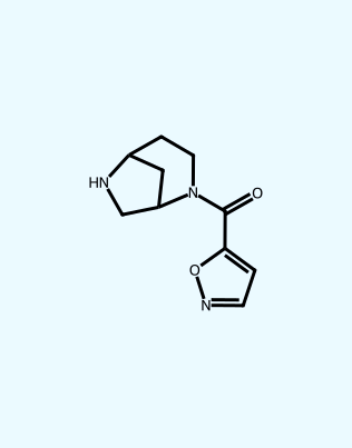 O=C(c1ccno1)N1CCC2CC1CN2